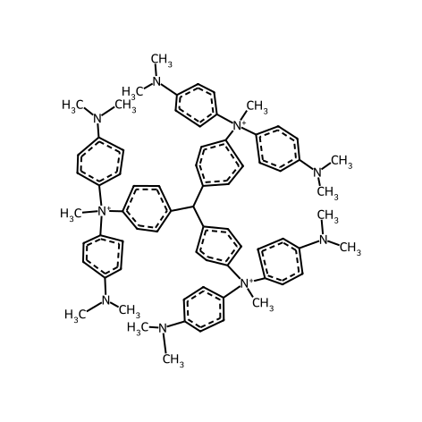 CN(C)c1ccc([N+](C)(c2ccc(C(c3ccc([N+](C)(c4ccc(N(C)C)cc4)c4ccc(N(C)C)cc4)cc3)c3ccc([N+](C)(c4ccc(N(C)C)cc4)c4ccc(N(C)C)cc4)cc3)cc2)c2ccc(N(C)C)cc2)cc1